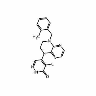 Cc1ccccc1CN1CCN(c2cn[nH]c(=O)c2Cl)c2nccnc21